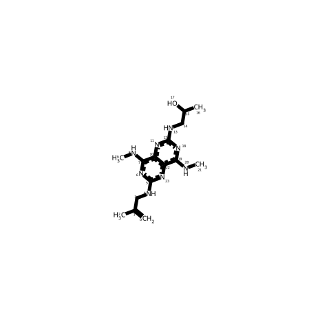 C=C(C)CNc1nc(NC)c2nc(NCC(C)O)nc(NC)c2n1